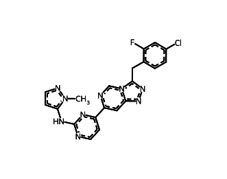 Cn1nccc1Nc1nccc(-c2cc3nnc(Cc4ccc(Cl)cc4F)n3cn2)n1